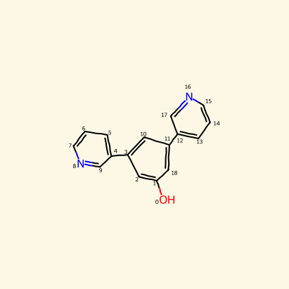 Oc1cc(-c2cccnc2)cc(-c2cccnc2)c1